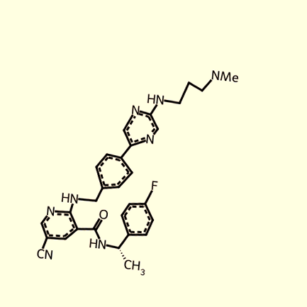 CNCCCNc1cnc(-c2ccc(CNc3ncc(C#N)cc3C(=O)N[C@@H](C)c3ccc(F)cc3)cc2)cn1